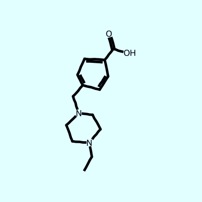 CCN1CCN(Cc2ccc(C(=O)O)cc2)CC1